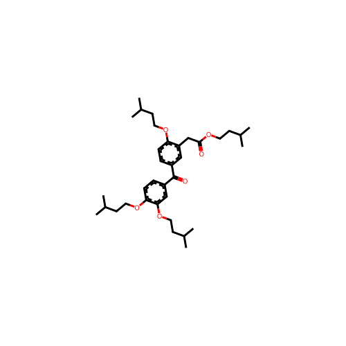 CC(C)CCOC(=O)Cc1cc(C(=O)c2ccc(OCCC(C)C)c(OCCC(C)C)c2)ccc1OCCC(C)C